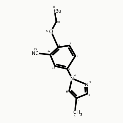 Cc1cnn(-c2ccc(OCC(C)(C)C)c(C#N)c2)c1